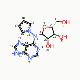 OC[C@H]1OC([N+](c2ncnc3[nH]cnc23)n2cccc2)[C@H](O)[C@@H]1O